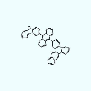 c1ccc(-c2ccc3ccccc3c2)c(-c2ccc(-c3c4ccccc4c(-c4ccc5oc6ccccc6c5c4)c4ccccc34)cc2)c1